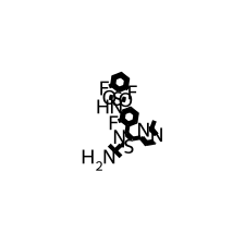 Cc1nccc(-c2sc(C(C)(C)N)nc2-c2cccc(NS(=O)(=O)c3c(F)cccc3F)c2F)n1